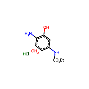 CCOC(=O)Nc1ccc(N)c(O)c1.Cl.O